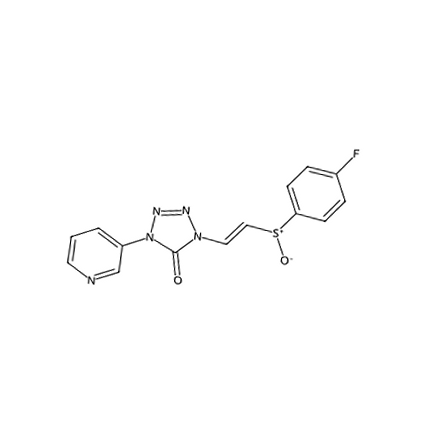 O=c1n(/C=C/[S+]([O-])c2ccc(F)cc2)nnn1-c1cccnc1